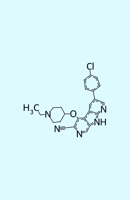 CCN1CCC(Oc2c(C#N)ncc3[nH]c4ncc(-c5ccc(Cl)cc5)cc4c23)CC1